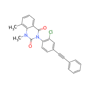 Cc1cccc2c(=O)n(-c3ccc(C#Cc4ccccc4)cc3Cl)c(=O)n(C)c12